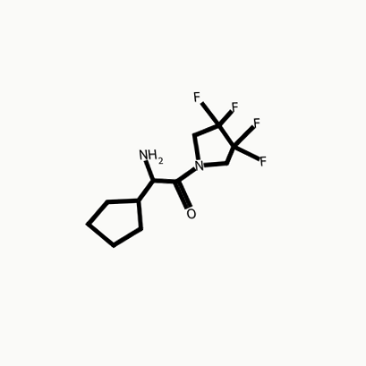 NC(C(=O)N1CC(F)(F)C(F)(F)C1)C1CCCC1